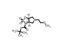 COCCN1C[C@@H]2OS(=O)(=O)N(C(=O)OC(C)(C)C)[C@@H]2C1